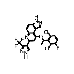 CC(Oc1cc(-c2c[nH]nc2C(F)(F)F)nc2ccc3[nH]ncc3c12)c1c(Cl)ccc(F)c1Cl